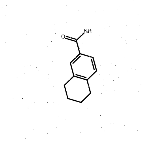 [NH]C(=O)c1ccc2c(c1)CCCC2